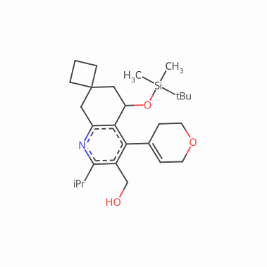 CC(C)c1nc2c(c(C3=CCOCC3)c1CO)C(O[Si](C)(C)C(C)(C)C)CC1(CCC1)C2